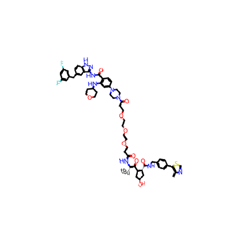 Cc1ncsc1-c1ccc(CNC(=O)[C@@H]2C[C@@H](O)CC2C(=O)[C@@H](NC(=O)CCOCCOCCOCCC(=O)N2CCN(c3ccc(C(=O)Nc4n[nH]c5ccc(Cc6cc(F)cc(F)c6)cc45)c(NC4CCOCC4)c3)CC2)C(C)(C)C)cc1